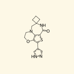 O=C1NC2(CCC2)CN2CCOc3c(-c4cn[nH]c4)sc1c32